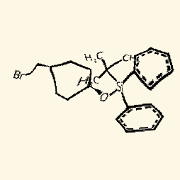 CC(C)(C)[Si](O[C@H]1CC[C@@H](CBr)CC1)(c1ccccc1)c1ccccc1